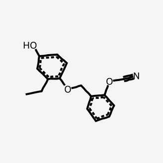 CCc1cc(O)ccc1OCc1ccccc1OC#N